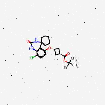 CCC(C)(C)OC(=O)[C@H]1C[C@H](Oc2ccc(Cl)c3c2C2(CCCCC2)NC(=O)N3)C1